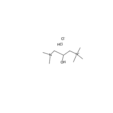 CN(C)CC(O)C[N+](C)(C)C.Cl.[Cl-]